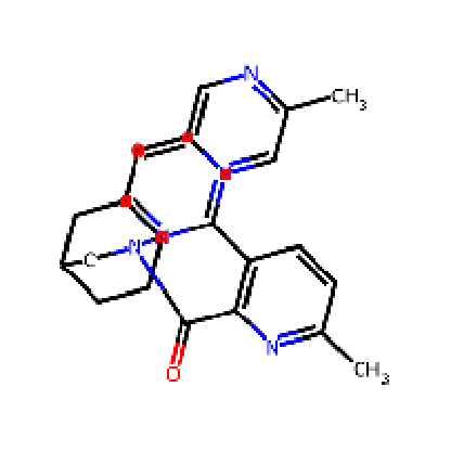 Cc1cnc(OC2CC3CCC2N(C(=O)c2nc(C)ccc2-c2ncccn2)C3)cn1